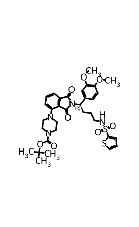 COc1ccc([C@@H](CCCNS(=O)(=O)c2cccs2)N2C(=O)c3cccc(N4CCN(C(=O)OC(C)(C)C)CC4)c3C2=O)cc1OC